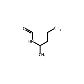 [CH2]C(CCC)NC=O